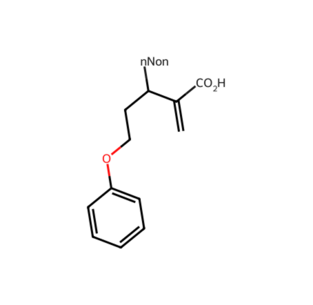 C=C(C(=O)O)C(CCCCCCCCC)CCOc1ccccc1